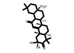 CC1(C)CC[C@]2(C(=O)O)CC[C@]3(C)C(C(=O)C=C4[C@@]5(C)C[C@](O)(C#N)C(=O)C(C)(C)[C@@H]5CC[C@]43C)C2C1